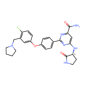 NC(=O)c1cc(N[C@H]2CCNC2=O)nc(-c2ccc(Oc3ccc(F)c(CN4CCCC4)c3)cc2)n1